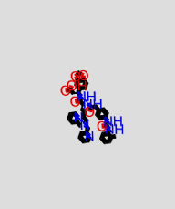 Cc1ccccc1NC(=O)Nc1ccc(CC(=O)N[C@@H](CCCCN(Cc2ccccn2)Cc2ccccn2)C(=O)N[C@@H](CC(=O)O)c2ccc3c(c2)OCO3)cc1